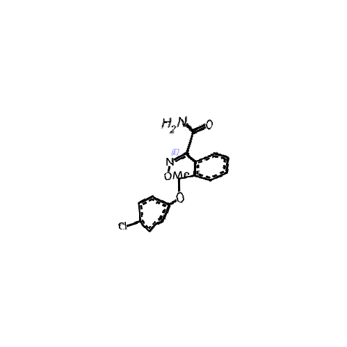 CO/N=C(/C(N)=O)c1ccccc1COc1ccc(Cl)cc1